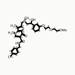 COCCOCCOc1cccc(C(O)CN(C)Cc2sc3c(=O)c(C(=O)NCc4ccc(Cl)cc4)cn(C)c3c2C)c1